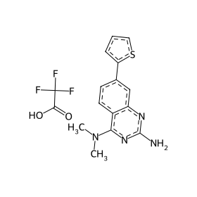 CN(C)c1nc(N)nc2cc(-c3cccs3)ccc12.O=C(O)C(F)(F)F